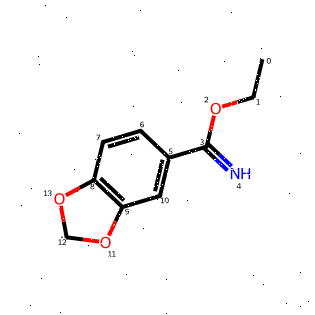 CCOC(=N)c1ccc2c(c1)O[CH]O2